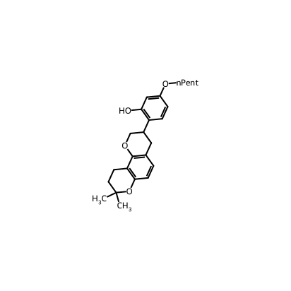 CCCCCOc1ccc(C2COc3c(ccc4c3CCC(C)(C)O4)C2)c(O)c1